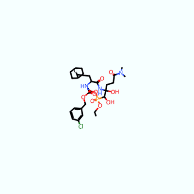 CCOP(=O)(OCC)C(O)C(O)(CCC(=O)N(C)C)NC(=O)C(CC1CC2CCC1CC2)NC(=O)OCc1cccc(Cl)c1